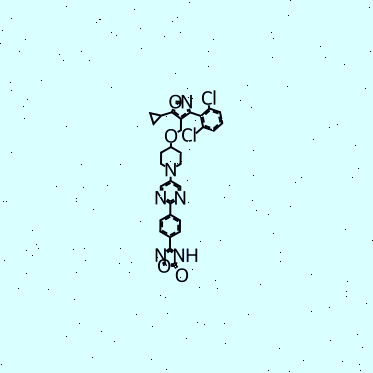 O=c1[nH]c(-c2ccc(-c3ncc(N4CCC(OCc5c(-c6c(Cl)cccc6Cl)noc5C5CC5)CC4)cn3)cc2)no1